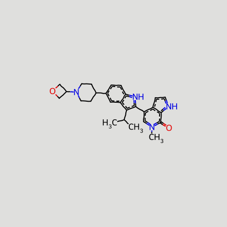 CC(C)c1c(-c2cn(C)c(=O)c3[nH]ccc23)[nH]c2ccc(C3CCN(C4COC4)CC3)cc12